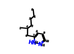 CCCCC(C)CC1=CC=C=NN1